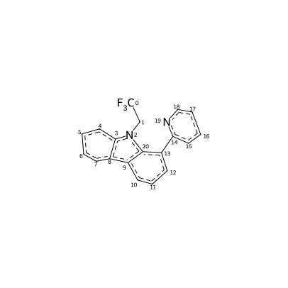 FC(F)(F)Cn1c2ccccc2c2cccc(-c3ccccn3)c21